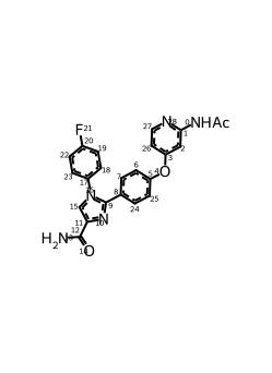 CC(=O)Nc1cc(Oc2ccc(-c3nc(C(N)=O)cn3-c3ccc(F)cc3)cc2)ccn1